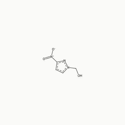 O=[N+]([O-])c1ccn(CO)n1